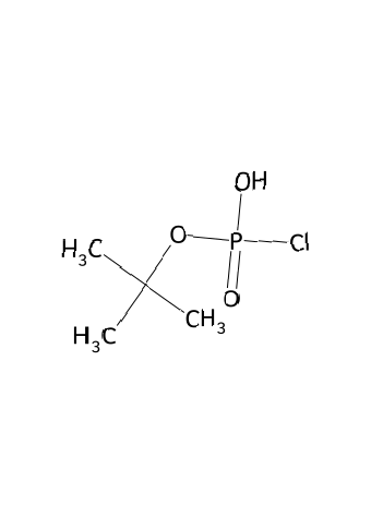 CC(C)(C)OP(=O)(O)Cl